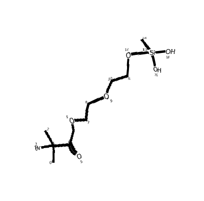 CC(C)(Br)C(=O)OCCOCCO[Si](C)(O)O